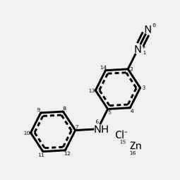 N#[N+]c1ccc(Nc2ccccc2)cc1.[Cl-].[Zn]